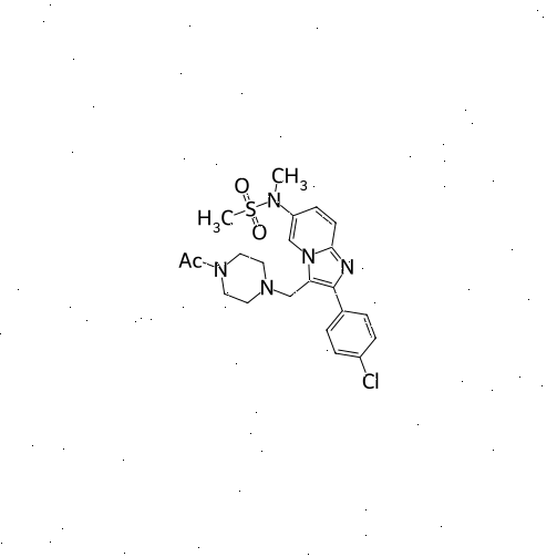 CC(=O)N1CCN(Cc2c(-c3ccc(Cl)cc3)nc3ccc(N(C)S(C)(=O)=O)cn23)CC1